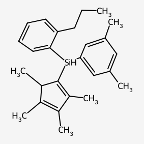 CCCc1ccccc1[SiH](C1=C(C)C(C)=C(C)C1C)c1cc(C)cc(C)c1